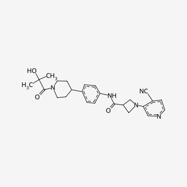 CC(C)(O)C(=O)N1CCC(c2ccc(NC(=O)C3CN(c4cnccc4C#N)C3)cc2)CC1